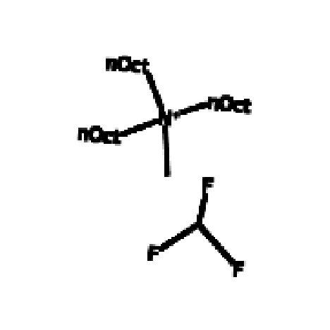 CCCCCCCC[N+](C)(CCCCCCCC)CCCCCCCC.FC(F)F